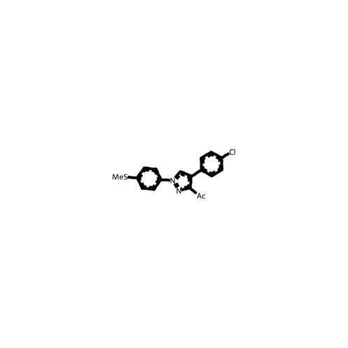 CSc1ccc(-n2cc(-c3ccc(Cl)cc3)c(C(C)=O)n2)cc1